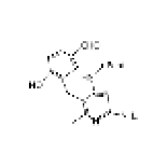 CCCCCNc1nc(N)nc(C)c1Cc1cc(C=O)ccc1O